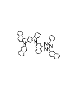 c1ccc(-c2nc(-c3ccc4ccccc4c3)nc(-c3cc(-n4c5ccccc5c5cc6c7c8ccccc8ccc7n(-c7ccc8ccccc8c7)c6cc54)cc4ccccc34)n2)cc1